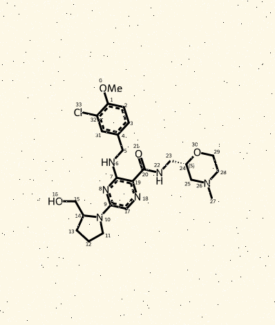 COc1ccc(CNc2nc(N3CCCC3CO)cnc2C(=O)NC[C@H]2CN(C)CCO2)cc1Cl